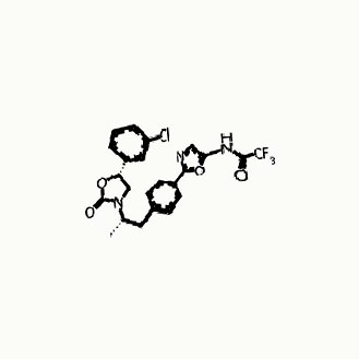 C[C@@H](Cc1ccc(-c2ncc(NC(=O)C(F)(F)F)o2)cc1)N1C[C@@H](c2cccc(Cl)c2)OC1=O